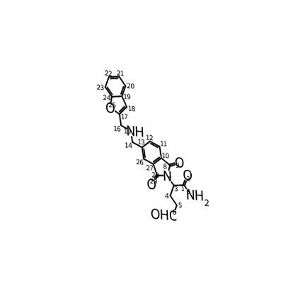 NC(=O)C(CCC=O)N1C(=O)c2ccc(CNCc3cc4ccccc4o3)cc2C1=O